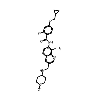 Cc1c(NC(=O)c2ccc(OCC3CC3)cc2F)ccc2cc(CNC3CC[S+]([O-])CC3)cnc12